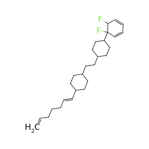 C=CCCCC=CC1CCC(CCC2CCC(C3(F)C=CC=CC3F)CC2)CC1